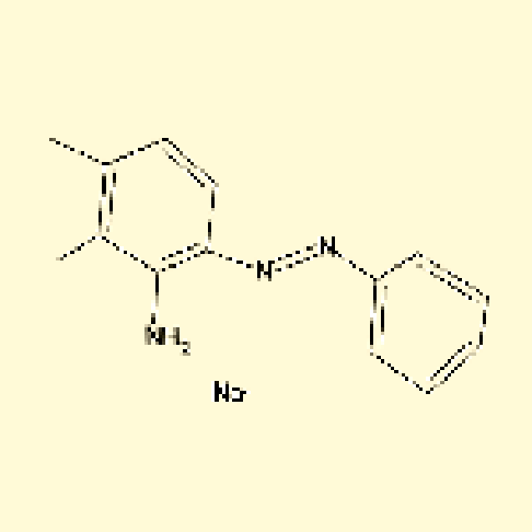 Cc1ccc(N=Nc2ccccc2)c(N)c1C.[Na]